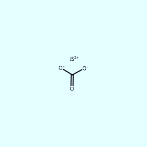 O=C([O-])[O-].[S+2]